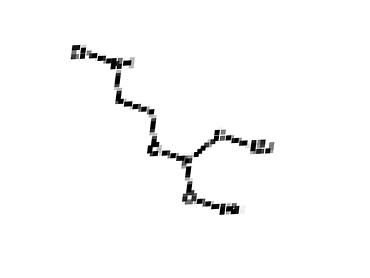 CCNCCOP(OC(C)(C)C)OC(C)(C)C